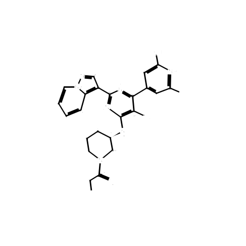 Cc1cc(-c2nc(-c3cnn4ccccc34)nc(N[C@@H]3CCCN(C(=O)CO)C3)c2F)cc(C)n1